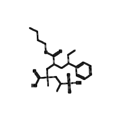 CCCCOC(=O)C(CC(CC)c1ccccc1)CC(C)(CC(C)S(=O)(=O)O)C(=O)O